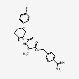 C[C@H](NC(=O)[C@H]1C[C@@H](c2ccc(F)cc2)CCN1)C(=O)NCc1ccc(C(=N)N)cc1